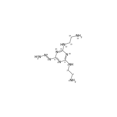 NCCNc1nc(N=NN)nc(NCCN)n1